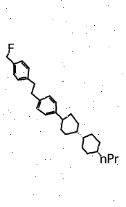 CCC[C@H]1CC[C@H](C2CCC(c3ccc(CCc4ccc(CF)cc4)cc3)CC2)CC1